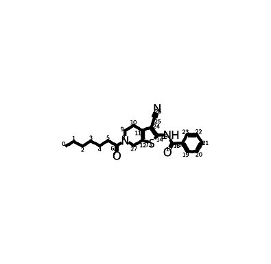 CCCCCCC(=O)N1CCc2c(sc(NC(=O)c3ccccc3)c2C#N)C1